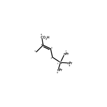 CCC[Si](CC=C(C)C(=O)O)(CCC)CCC